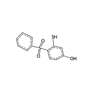 O=S(=O)(c1ccccc1)c1ccc(O)cc1S